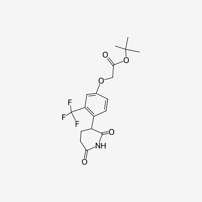 CC(C)(C)OC(=O)COc1ccc(C2CCC(=O)NC2=O)c(C(F)(F)F)c1